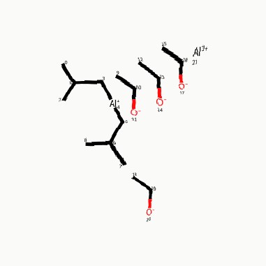 CC(C)[CH2][Al+][CH2]C(C)C.CC[O-].CC[O-].CC[O-].CC[O-].[Al+3]